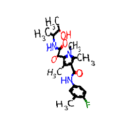 Cc1cc(NC(=O)c2c(C)c(C(=O)C(=O)NC(C)C(C)O)n(C)c2C)ccc1F